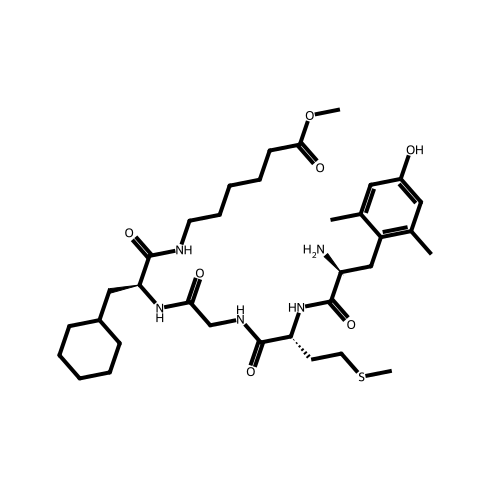 COC(=O)CCCCCNC(=O)[C@H](CC1CCCCC1)NC(=O)CNC(=O)[C@@H](CCSC)NC(=O)[C@@H](N)Cc1c(C)cc(O)cc1C